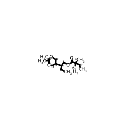 CCC(COC(=O)C(C)(C)CC)C1COC(C)(C)OC1